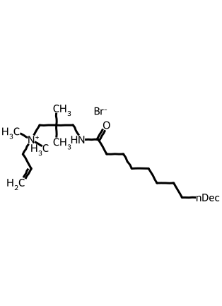 C=CC[N+](C)(C)CC(C)(C)CNC(=O)CCCCCCCCCCCCCCCCC.[Br-]